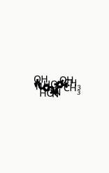 CC(C)c1cc(-c2nnc(O)n2Cc2ccc(CN3CCC(O)C3)cc2)c(O)cc1O